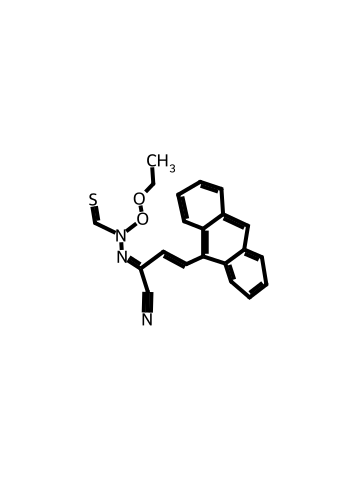 CCOON(C=S)/N=C(C#N)\C=C\c1c2ccccc2cc2ccccc12